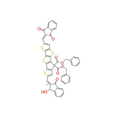 O=C1C(=Cc2cc3sc4c5c(sc4c3s2)-c2sc(/C=C3\C(=O)c4ccccc4C3O)cc2C5(C(=O)OCc2ccccc2)C(=O)OCc2ccccc2)C(=O)c2ccccc21